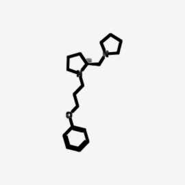 C1=C=CC(OCCCN2CCC[C@H]2CN2CCCC2)=CC=1